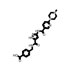 CN1CCN(c2ccc(C(=O)Nc3cc(C(=O)NCc4ccc(C(=O)O)cc4)[nH]n3)cn2)CC1